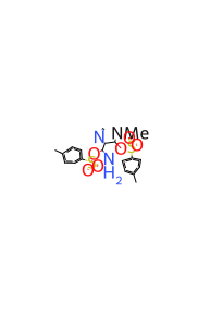 C=NC(C(N)OS(=O)(=O)c1ccc(C)cc1)C(NC)OS(=O)(=O)c1ccc(C)cc1